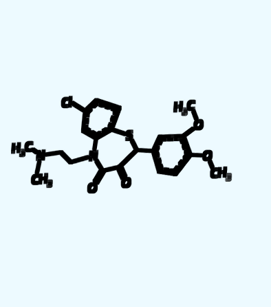 COc1ccc(C2Sc3ccc(Cl)cc3N(CCN(C)C)C(=O)C2=O)cc1OC